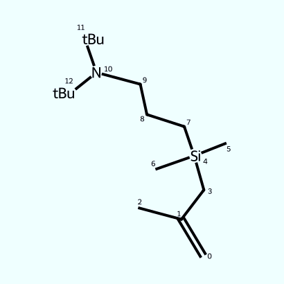 C=C(C)C[Si](C)(C)CCCN(C(C)(C)C)C(C)(C)C